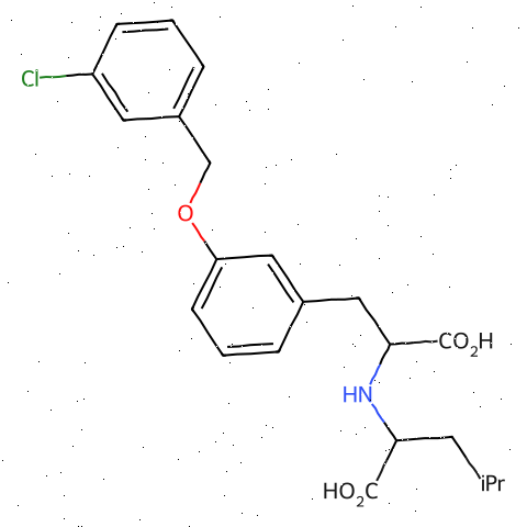 CC(C)CC(NC(Cc1cccc(OCc2cccc(Cl)c2)c1)C(=O)O)C(=O)O